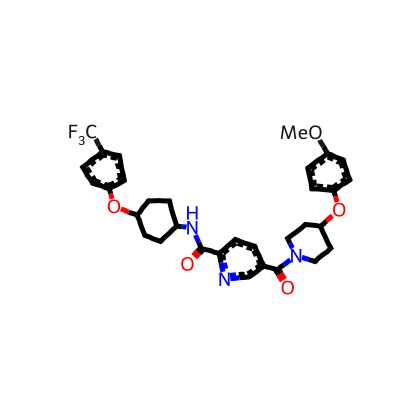 COc1ccc(OC2CCN(C(=O)c3ccc(C(=O)NC4CCC(Oc5ccc(C(F)(F)F)cc5)CC4)nc3)CC2)cc1